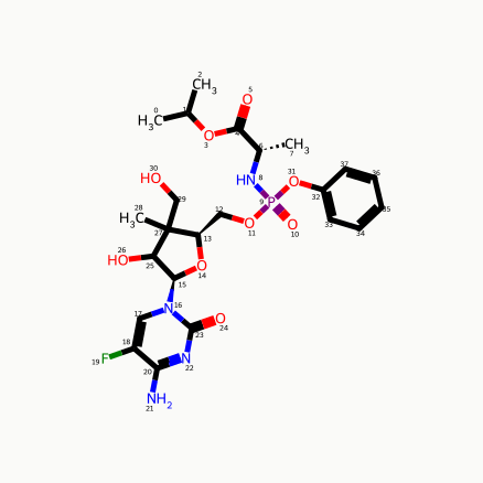 CC(C)OC(=O)[C@H](C)NP(=O)(OC[C@H]1O[C@@H](n2cc(F)c(N)nc2=O)C(O)C1(C)CO)Oc1ccccc1